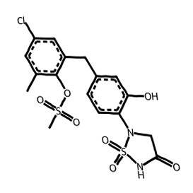 Cc1cc(Cl)cc(Cc2ccc(N3CC(=O)NS3(=O)=O)c(O)c2)c1OS(C)(=O)=O